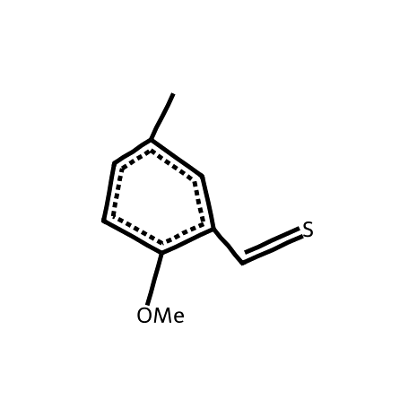 COc1ccc(C)cc1C=S